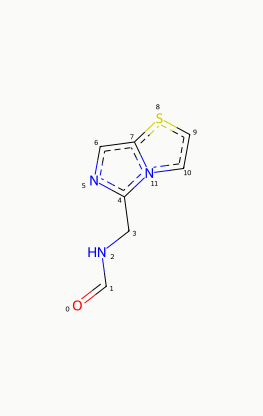 O=CNCc1ncc2sccn12